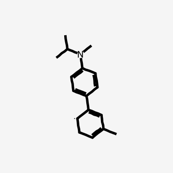 CC1=CC[CH]C(c2ccc(N(C)C(C)C)cc2)=C1